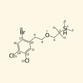 C[SiH](C)C(C)(C)COCCc1cc(Cl)c(Cl)cc1Br